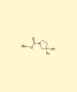 CCCC1(C(C)=O)CCN(C(=O)OC(C)(C)C)C1